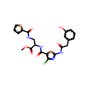 COC(=O)C(CNC(=O)c1cccs1)NC(=O)c1sc(NC(=O)Cc2cccc(O)c2)nc1Cl